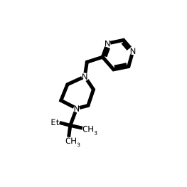 CCC(C)(C)N1CCN(Cc2ccncn2)CC1